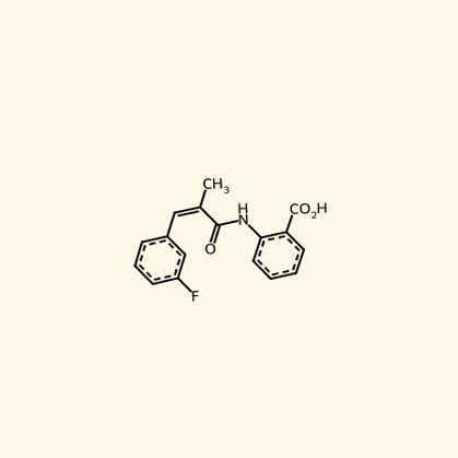 CC(=Cc1cccc(F)c1)C(=O)Nc1ccccc1C(=O)O